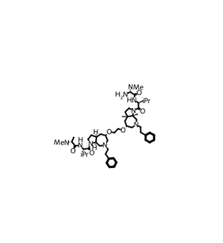 CN[C@@H](N)C(=O)N[C@H](C(=O)N1CC[C@@]2(C)C[C@@H](OCCO[C@@H]3C[C@@H]4CCN(C(=O)[C@@H](NC(=O)[C@@H](C)NC)C(C)C)[C@@H]4CN(CCc4ccccc4)C3)CN(CCc3ccccc3)C[C@@]12C)C(C)C